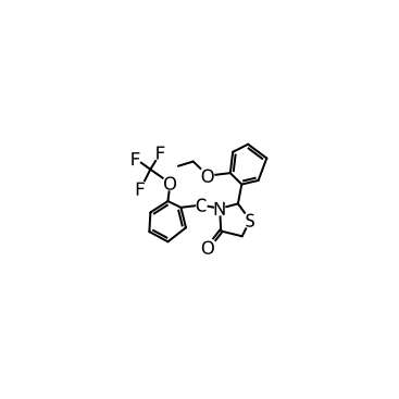 CCOc1ccccc1C1SCC(=O)N1Cc1ccccc1OC(F)(F)F